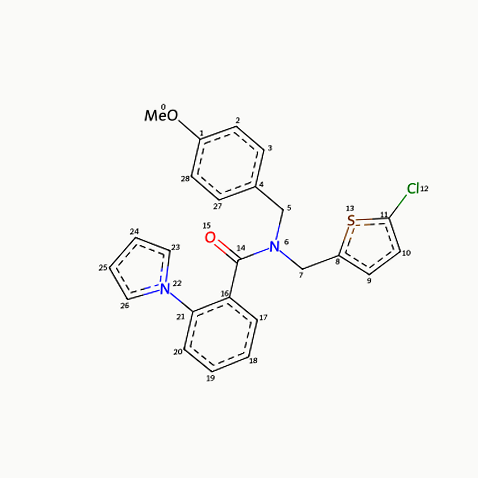 COc1ccc(CN(Cc2ccc(Cl)s2)C(=O)c2ccccc2-n2cccc2)cc1